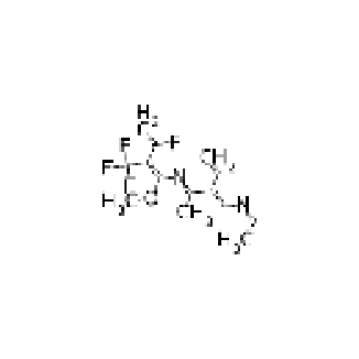 C=CC(=C\N=C/C)/C(C)=N/C(OC)=C(\C(=C)F)C(F)(F)F